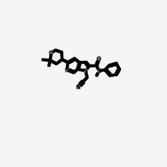 CN(C(=O)c1cc2cc(C3CCOC(C)(C)C3)ncc2n1CC#N)c1ccccc1